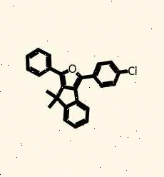 CC1(C)c2ccccc2-c2c(-c3ccc(Cl)cc3)oc(-c3ccccc3)c21